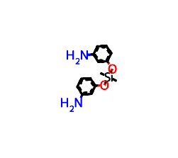 C[Si](C)(Oc1cccc(N)c1)Oc1cccc(N)c1